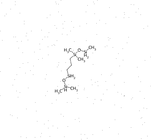 C[SiH2]O[Si](C)(C)CCC[SiH2]O[SiH](C)C